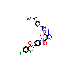 COC1CCN(CCNC(=O)c2[nH]cnc2C(=O)Nc2ccc(NC(=O)c3ccc(F)cc3Cl)cc2)C1